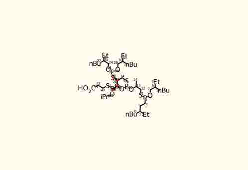 CCCCC(CC)CCP(OCC(CC)CCCC)SCC(C)OP(OC(C)CSP(OCC(CC)CCCC)OCC(CC)CCCC)SCC(C)OP(OC(C)C)SCCC(=O)O